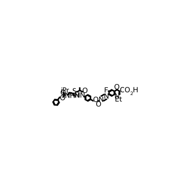 CCn1cc(C(=O)O)c(=O)c2cc(F)c(N3CCN(C(=O)OCc4ccc(NC(=O)C(C)c5ncc([C@@H](NC(=O)OCc6ccccc6)C(C)C)s5)cc4)CC3)cc21